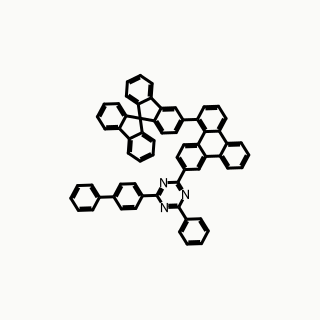 c1ccc(-c2ccc(-c3nc(-c4ccccc4)nc(-c4ccc5c(c4)c4ccccc4c4cccc(-c6ccc7c(c6)-c6ccccc6C76c7ccccc7-c7ccccc76)c45)n3)cc2)cc1